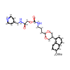 COc1ccc2c(C3COC(CCCNC(=O)OCC(=O)NCc4ccncc4)OC3)cccc2c1